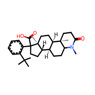 CN1C(=O)CC[C@@]2(C)C1CC[C@@H]1[C@H]2CC[C@@]2(C)[C@H]1CCC2(C(=O)O)c1ccccc1C(C)(C)C